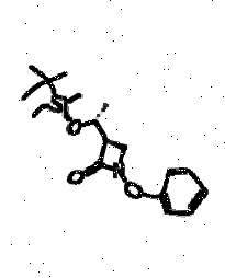 C[C@@H](O[Si](C)(C)C(C)(C)C)[C@H]1CN(Oc2ccccc2)C1=O